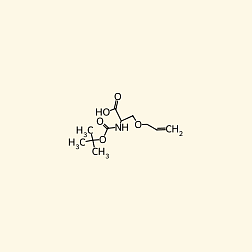 C=CCOCC(NC(=O)OC(C)(C)C)C(=O)O